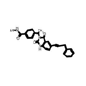 CCNC(=O)c1ccc(C(C)n2c(=O)[nH]c3ccc(C#CCc4ccccc4)cc3c2=O)cc1